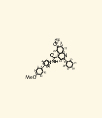 COc1ccc(-c2ccn(NC(=O)c3cc(-c4ccccc4)nc4ccc(OC(F)(F)F)cc34)n2)cc1